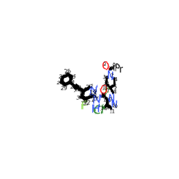 CC(C)C(=O)N1CCC(F)(Cn2ncc(Cl)c2C(=O)Nc2ncc(C#Cc3ccccc3)cc2F)CC1